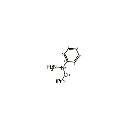 CC(C)ON(N)c1ccccc1